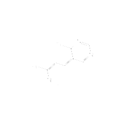 CCC1N=CN=C/C1=C/C=C(\N)C(C)C